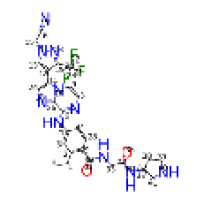 CCc1cc(Nc2nccn3c(-c4cn(CC#N)nc4C(F)(F)F)cnc23)ccc1C(=O)NCC(=O)N[C@H]1CCNC1